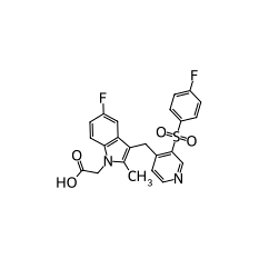 Cc1c(Cc2ccncc2S(=O)(=O)c2ccc(F)cc2)c2cc(F)ccc2n1CC(=O)O